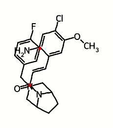 COc1cc(/C=C/C(=O)N2C3CCC2CN(Cc2ccc(F)cc2)C3)c(N)cc1Cl